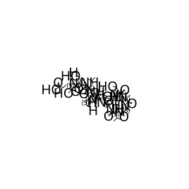 CC[C@H](C)[C@H](NC(=O)[C@H](CO)NC(=O)CNC(=O)[C@@H](NC(=O)[C@H](C)NC(=O)[C@H](C)NC(=O)[C@@H](N)CO)C(C)C)C(=O)N[C@@H](CC(C)C)C(=O)N[C@@H](CO)C(=O)N[C@@H](CCC(=O)O)C(=O)O